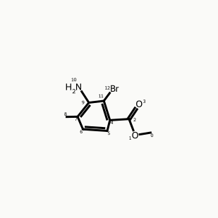 COC(=O)c1ccc(C)c(N)c1Br